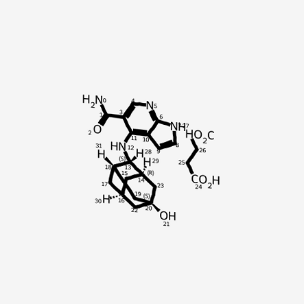 NC(=O)c1cnc2[nH]ccc2c1N[C@@H]1[C@@H]2C[C@@H]3C[C@H]1C[C@@](O)(C3)C2.O=C(O)CCC(=O)O